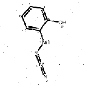 [N-]=[N+]=NNc1ccccc1O